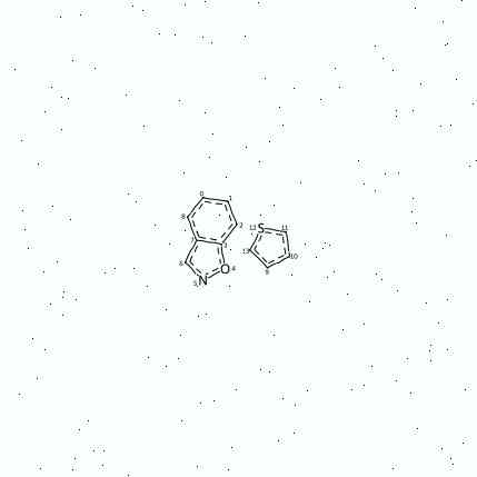 c1ccc2oncc2c1.c1ccsc1